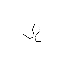 C[CH2][Cu]([CH2]C)([CH2]C)[CH2]C